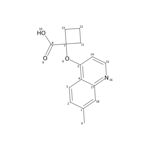 Cc1ccc2c(OC3(C(=O)O)CCC3)ccnc2c1